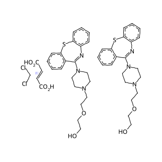 ClCCl.O=C(O)/C=C/C(=O)O.OCCOCCN1CCN(C2=Nc3ccccc3Sc3ccccc32)CC1.OCCOCCN1CCN(C2=Nc3ccccc3Sc3ccccc32)CC1